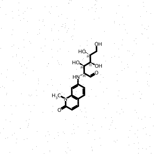 Cn1c(=O)ccc2ccc(N[C@@H](C=O)[C@@H](O)[C@H](O)[C@H](O)CO)cc21